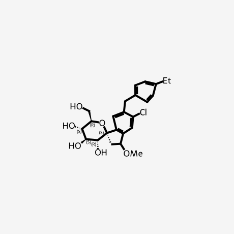 CCc1ccc(Cc2cc3c(cc2Cl)C(OC)C[C@]32O[C@H](CO)[C@@H](O)[C@H](O)[C@H]2O)cc1